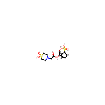 O=C(CN1CCS(=O)(=O)CC1)OC1C2CC3C1OS(=O)(=O)C3C2